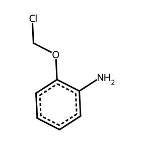 Nc1ccccc1OCCl